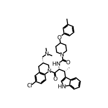 Cc1cccc(OC2CCN(C(=O)N[C@@H](C(=O)N3C[C@@H](CN(C)C)Cc4cc(Cl)ccc43)[C@H](C)c3c[nH]c4ccccc34)CC2)c1